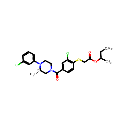 COCC(C)OC(=O)CSc1ccc(C(=O)N2CCN(c3cccc(Cl)c3)[C@@H](C)C2)cc1Cl